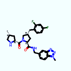 C[C@H]1CN[C@@H](C(=O)N2C[C@H](Cc3ccc(F)cc3F)C[C@H]2C(=O)NCc2ccc3c(c2)nnn3C)C1